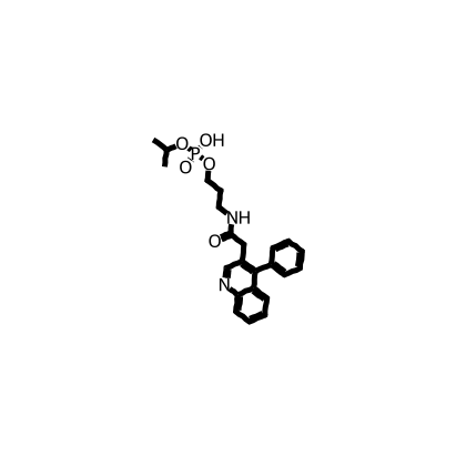 CC(C)OP(=O)(O)OCCCNC(=O)Cc1cnc2ccccc2c1-c1ccccc1